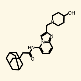 O=C(CC12CC3CC(CC(C3)C1)C2)Nc1cccc2nc(CN3CCC(O)CC3)cn12